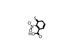 O=C(O)C1=C([N+](=O)[O-])C(=S)CC=C1